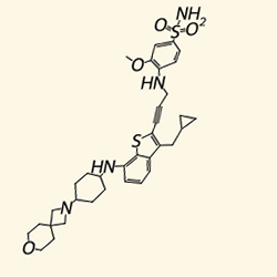 COc1cc(S(N)(=O)=O)ccc1NCC#Cc1sc2c(NC3CCC(N4CC5(CCOCC5)C4)CC3)cccc2c1CC1CC1